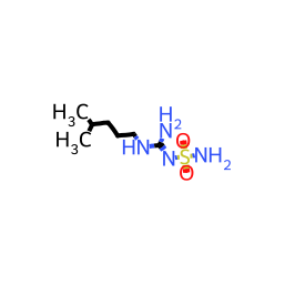 CC(C)CCCN/C(N)=N/S(N)(=O)=O